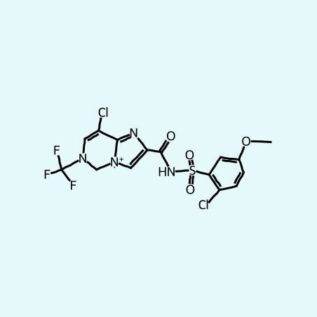 COc1ccc(Cl)c(S(=O)(=O)NC(=O)C2=C[N+]3CN(C(F)(F)F)C=C(Cl)C3=N2)c1